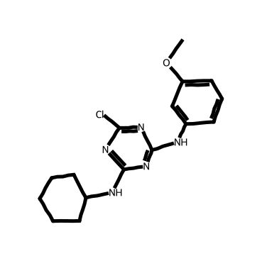 COc1cccc(Nc2nc(Cl)nc(NC3CCCCC3)n2)c1